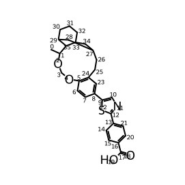 CC1OCOc2ccc(-c3cnc(-c4ccc(C(=O)O)cc4)s3)cc2CCC2CC3CCCC(C2)C31